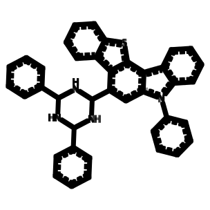 c1ccc(C2NC(c3ccccc3)NC(c3cc4c(c5ccccc5n4-c4ccccc4)c4sc5ccccc5c34)N2)cc1